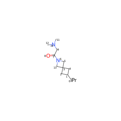 CC(C)C1CC2(C1)CN(C(=O)CN(C)C)C2